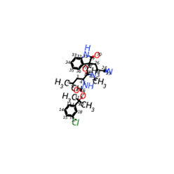 CC(C)CC(NC(=O)OC(C)(C)c1cccc(Cl)c1)C(=O)N(C)[C@H](C#N)C[C@@]1(C)C(=O)Nc2ccccc21